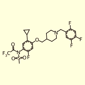 CS(=O)(=O)N(C(=O)C(F)(F)F)c1cc(C2CC2)c(OCC2CCN(Cc3cc(F)c(F)cc3F)CC2)cc1F